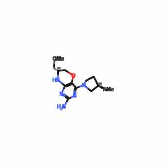 CN[C@@H]1CCN(c2nc(N)nc3c2OC[C@@H](COC)N3)C1